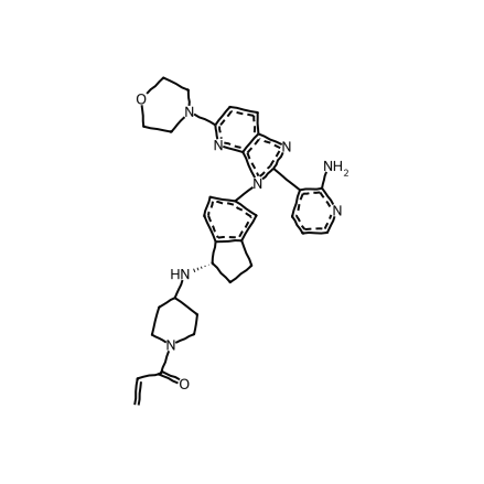 C=CC(=O)N1CCC(N[C@H]2CCc3cc(-n4c(-c5cccnc5N)nc5ccc(N6CCOCC6)nc54)ccc32)CC1